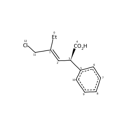 CC/C(=C\[C@@H](C(=O)O)c1ccccc1)CCl